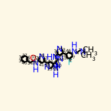 CN(C)CCNc1cc(F)cc(-c2cncc3[nH]c(-c4n[nH]c5cnc(-c6cncc(NC(=O)Cc7ccccc7)c6)cc45)nc23)c1